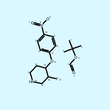 CC(C)(C)OC=O.O=[N+]([O-])c1ccc(OC2CCNCC2F)cc1